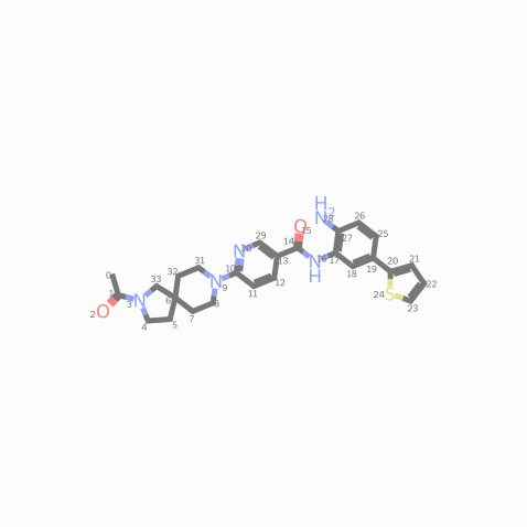 CC(=O)N1CCC2(CCN(c3ccc(C(=O)Nc4cc(-c5cccs5)ccc4N)cn3)CC2)C1